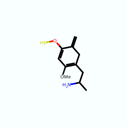 C=C1CC(CC(C)N)=C(OC)C=C1OS